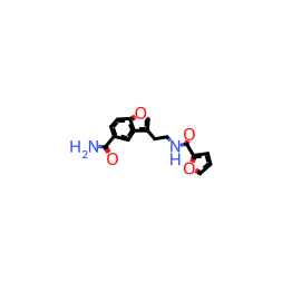 NC(=O)c1ccc2occ(CCNC(=O)c3ccco3)c2c1